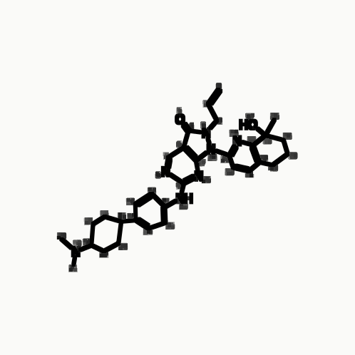 C=CCn1c(=O)c2cnc(Nc3ccc(C4CCC(N(C)C)CC4)cc3)nc2n1-c1ccc2c(n1)C(C)(O)CCC2